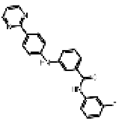 O=C(Nc1cccc(F)c1)c1cccc(Nc2ccc(-c3ncccn3)cc2)c1